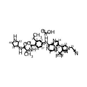 CCc1cc(Nc2nccn3c(-c4cn(CC#N)nc4C(F)(F)F)cnc23)ccc1C(=O)N[C@H](C)C(=O)N[C@@H]1CCNC1.O=CO